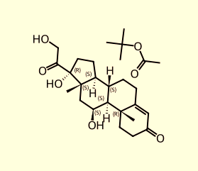 CC(=O)OC(C)(C)C.C[C@]12CCC(=O)C=C1CC[C@@H]1[C@@H]2[C@@H](O)C[C@@]2(C)[C@H]1CC[C@]2(O)C(=O)CO